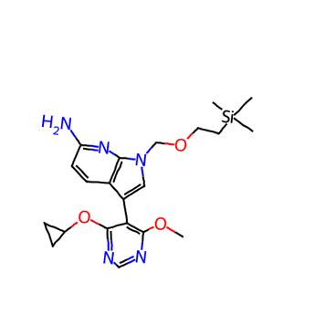 COc1ncnc(OC2CC2)c1-c1cn(COCC[Si](C)(C)C)c2nc(N)ccc12